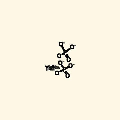 O=P([O-])([O-])[O-].O=P([O-])([O-])[O-].[Er+3].[Yb+3]